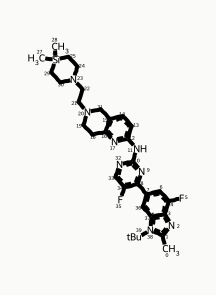 Cc1nc2c(F)cc(-c3nc(Nc4ccc5c(n4)CCN(CCN4CC[Si](C)(C)CC4)C5)ncc3F)cc2n1C(C)(C)C